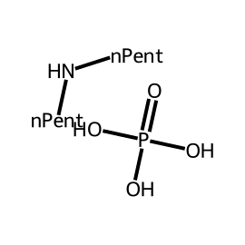 CCCCCNCCCCC.O=P(O)(O)O